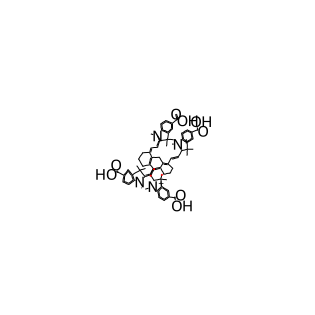 CN1C(=CC=C2CCCC(C=CC3=[N+](C)c4ccc(C(=O)O)cc4C3(C)C)=C2CC2=C(C=CC3=[N+](C)c4ccc(C(=O)O)cc4C3(C)C)CCCC2=CC=C2N(C)c3ccc(C(=O)O)cc3C2(C)C)C(C)(C)c2cc(C(=O)O)ccc21